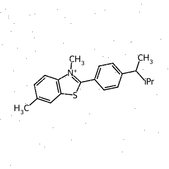 Cc1ccc2c(c1)sc(-c1ccc(C(C)C(C)C)cc1)[n+]2C